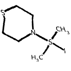 CS(C)(I)N1CCSCC1